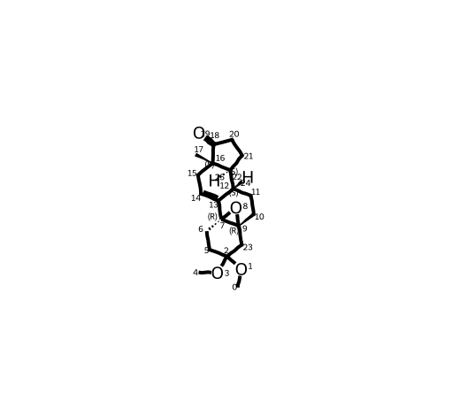 COC1(OC)CC[C@]23O[C@]2(CC[C@@H]2C3=CC[C@]3(C)C(=O)CC[C@@H]23)C1